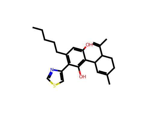 C=C(C)C1CCC(C)=CC1c1c(O)cc(CCCCC)c(-c2cscn2)c1O